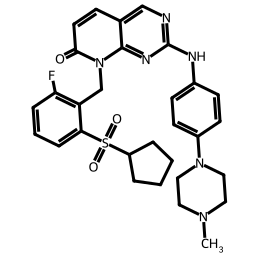 CN1CCN(c2ccc(Nc3ncc4ccc(=O)n(Cc5c(F)cccc5S(=O)(=O)C5CCCC5)c4n3)cc2)CC1